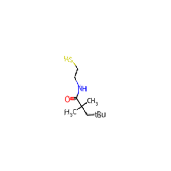 CC(C)(C)CC(C)(C)C(=O)NCCS